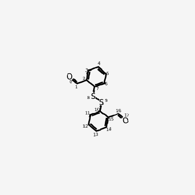 O=Cc1ccccc1SSc1ccccc1C=O